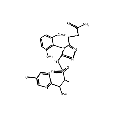 COc1cccc(OC)c1-n1c(CCC(N)=O)nnc1NS(=O)(=O)C(C)C(OC)c1ncc(Cl)cn1